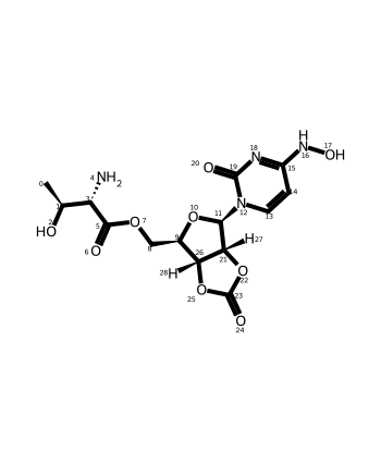 C[C@H](O)[C@H](N)C(=O)OC[C@H]1O[C@@H](n2ccc(NO)nc2=O)[C@@H]2OC(=O)O[C@@H]21